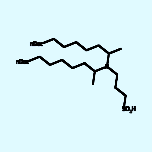 CCCCCCCCCCCCCCCC(C)N(CCCS(=O)(=O)O)C(C)CCCCCCCCCCCCCCC